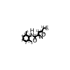 Cc1cccc(C)c1NC(=O)c1cc(CF)on1